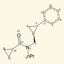 CCCN(C[C@H]1CC1c1ccccc1)C(=O)C1CC1